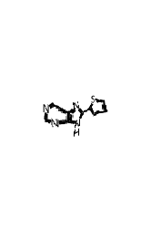 c1csc(-c2nc3cncnc3[nH]2)c1